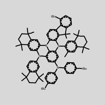 Cc1cc2c(cc1N1c3cc(N(c4ccc(C(C)(C)C)cc4)c4ccc(C(C)(C)C)cc4)cc4c3B(c3cc5c(cc3N4c3ccc4c(c3)C(C)(C)CCC4(C)C)C(C)(C)CCC5(C)C)c3ccc4c(c31)C(C)(C)c1cccc(C(C)(C)C)c1-4)C(C)(C)CCC2(C)C